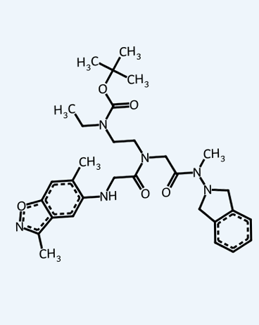 CCN(CCN(CC(=O)N(C)N1Cc2ccccc2C1)C(=O)CNc1cc2c(C)noc2cc1C)C(=O)OC(C)(C)C